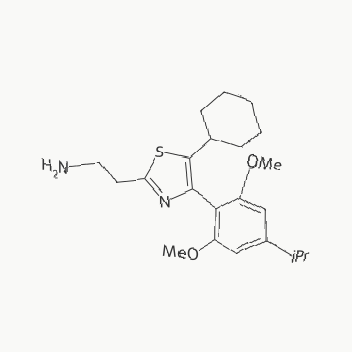 COc1cc(C(C)C)cc(OC)c1-c1nc(CCN)sc1C1CCCCC1